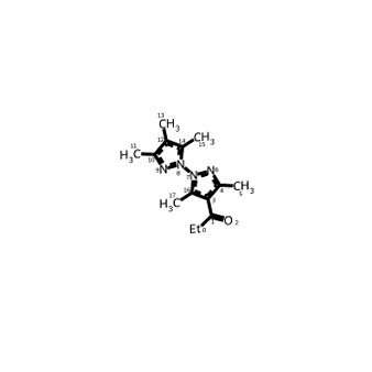 CCC(=O)c1c(C)nn(-n2nc(C)c(C)c2C)c1C